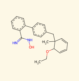 [CH2]C1(Cc2ccc(-c3ccccc3C(=N)NO)cc2)C=CC=CC1OCC